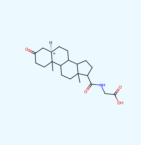 CC12CCC3C(CC[C@@H]4CC(=O)CCC34C)C1CCC2C(=O)NCC(=O)O